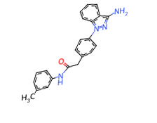 Cc1cccc(NC(=O)Cc2ccc(-n3nc(N)c4ccccc43)cc2)c1